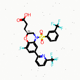 O=C(O)CC[C@H]1CN(S(=O)(=O)c2cccc(C(F)(F)F)c2)c2cc(-c3cccc(C(F)(F)F)n3)cc(F)c2O1